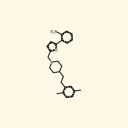 Cc1ccc(C)c(CCC2CCN(Cc3ccc(-c4ccccc4[N+](=O)[O-])o3)CC2)c1